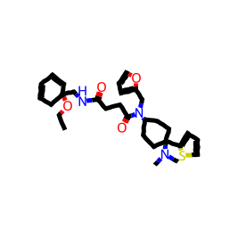 CCOC1(CNC(=O)CCC(=O)N(Cc2ccco2)C2CCC(c3cccs3)(N(C)C)CC2)C=CC=CC1